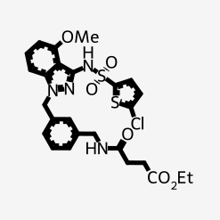 CCOC(=O)CCC(=O)NCc1cccc(Cn2nc(NS(=O)(=O)c3ccc(Cl)s3)c3c(OC)cccc32)c1